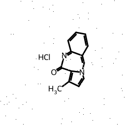 Cc1ccn2cc3ccccc3nc(=O)c12.Cl